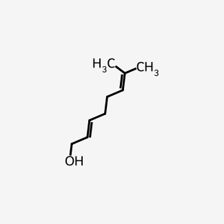 CC(C)=CCCC=CCO